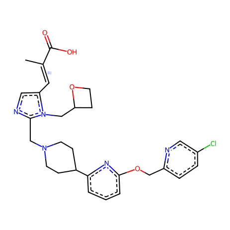 C/C(=C\c1cnc(CN2CCC(c3cccc(OCc4ccc(Cl)cn4)n3)CC2)n1CC1CCO1)C(=O)O